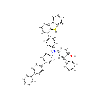 c1ccc(-c2ccc(-c3ccc(N(c4ccc(-c5cccc6c5sc5ccccc56)cc4)c4ccc5oc6ccccc6c5c4)cc3)cc2)cc1